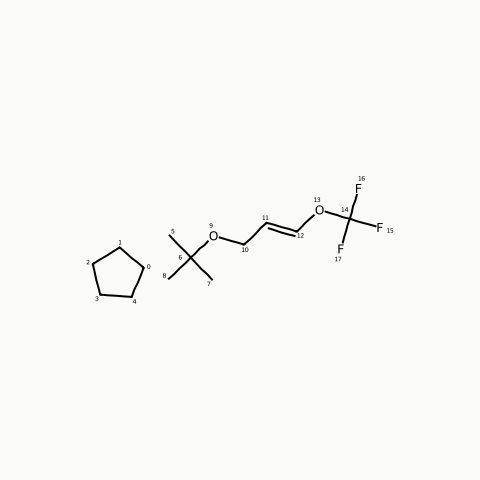 C1CCCC1.CC(C)(C)OCC=COC(F)(F)F